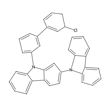 ClC1C=C(c2cccc(-n3c4ccccc4c4ccc(-n5c6ccccc6c6ccccc65)cc43)c2)C=CC1